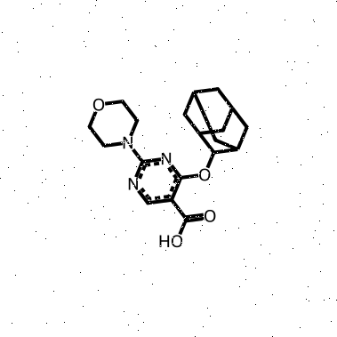 O=C(O)c1cnc(N2CCOCC2)nc1OC1C2CC3CC(C2)CC1C3